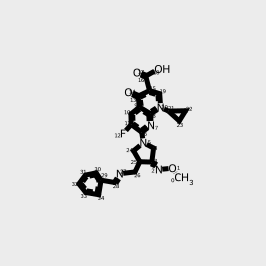 CO/N=C1\CN(c2nc3c(cc2F)c(=O)c(C(=O)O)cn3C2CC2)CC1CN=Cc1ccccc1